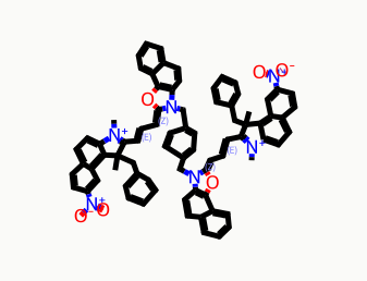 C[N+]1=C(/C=C/C=C2\Oc3c(ccc4ccccc34)N2Cc2ccc(CN3/C(=C/C=C/C4=[N+](C)c5ccc6ccc([N+](=O)[O-])cc6c5C4(C)Cc4ccccc4)Oc4c3ccc3ccccc43)cc2)C(C)(Cc2ccccc2)c2c1ccc1ccc([N+](=O)[O-])cc21